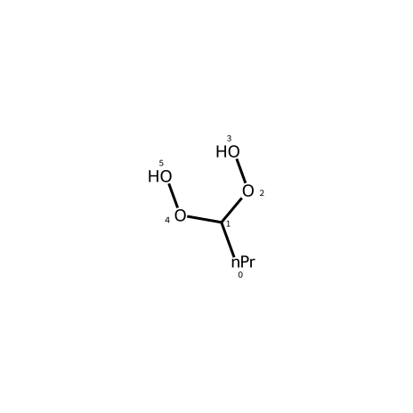 CCCC(OO)OO